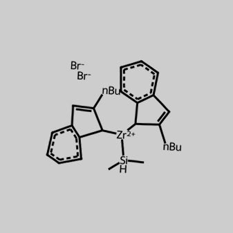 CCCCC1=Cc2ccccc2[CH]1[Zr+2]([CH]1C(CCCC)=Cc2ccccc21)[SiH](C)C.[Br-].[Br-]